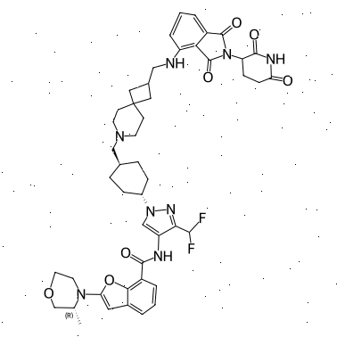 C[C@@H]1COCCN1c1cc2cccc(C(=O)Nc3cn([C@H]4CC[C@H](CN5CCC6(CC5)CC(CNc5cccc7c5C(=O)N(C5CCC(=O)NC5=O)C7=O)C6)CC4)nc3C(F)F)c2o1